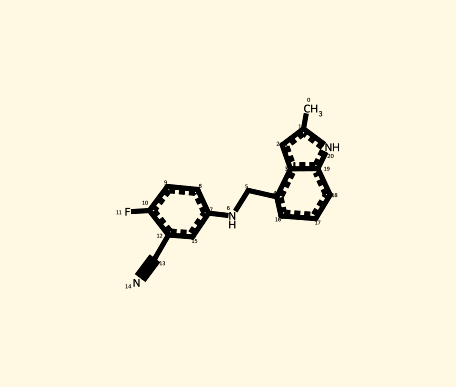 Cc1cc2c(CNc3ccc(F)c(C#N)c3)cccc2[nH]1